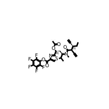 C#CC(C(=O)N(C)[C@H](C[C@@H](OC(C)=O)c1nc(C(=O)Oc2c(F)c(F)c(F)c(F)c2F)cs1)C(C)C)[C@@H](C#C)CC